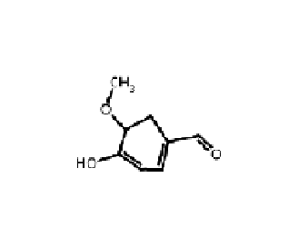 COC1CC(C=O)=CC=C1O